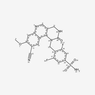 COc1cc2ncc3c(c2cc1C#N)N(Cc1c(F)cc(S(N)(=O)=O)cc1F)C(=O)NC3